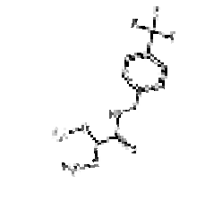 COC(OC)C(=O)NCc1ccc(C(F)(F)F)cc1